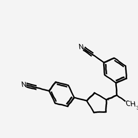 CC([C]1CCC(c2ccc(C#N)cc2)C1)c1cccc(C#N)c1